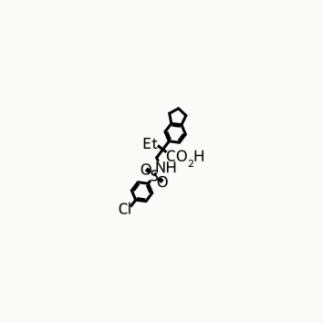 CCC(CNS(=O)(=O)c1ccc(Cl)cc1)(C(=O)O)c1ccc2c(c1)CCC2